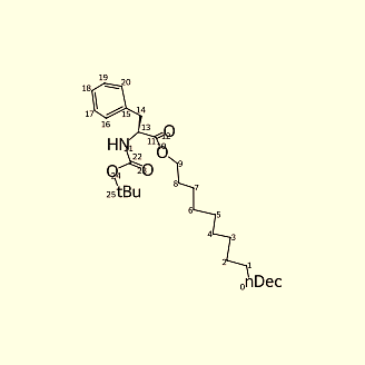 CCCCCCCCCCCCCCCCCCCOC(=O)[C@H](Cc1ccccc1)NC(=O)OC(C)(C)C